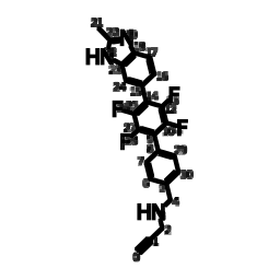 C#CCNCc1ccc(-c2c(F)c(F)c(-c3ccc4nc(C)[nH]c4c3)c(F)c2F)cc1